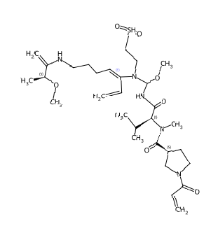 C=CC(=O)N1CC[C@H](C(=O)N(C)[C@H](C(=O)NC(OC)N(CC[SH](=O)=O)/C(C=C)=C/CCCNC(=C)[C@H](C)OC)C(C)C)C1